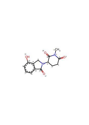 CN1C(=O)CCC(N2Cc3c(O)cccc3C2=O)C1=O